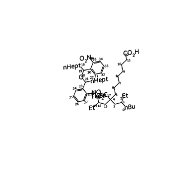 CCCCC(CC)CC(CCCCCCCC(=O)O)(CC(CC)CCCC)C(=O)O.CCCCCCCC(OC(CCCCCCC)c1ccccc1[N+](=O)[O-])c1ccccc1[N+](=O)[O-]